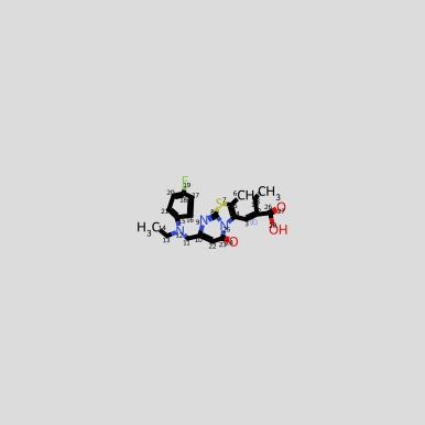 CC/C(=C\c1c(C)sc2nc(CN(CC)c3ccc(F)cc3)cc(=O)n12)C(=O)O